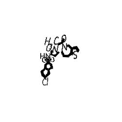 C[C@@H](C(=O)N1CCCc2sccc2C1)N1CC[C@H](NS(=O)(=O)c2ccc3cc(Cl)ccc3c2)C1=O